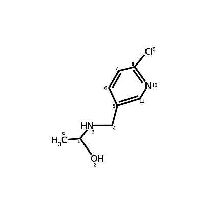 CC(O)NCc1ccc(Cl)nc1